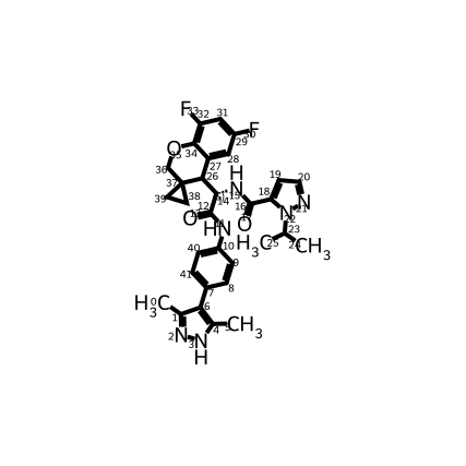 Cc1n[nH]c(C)c1-c1ccc(NC(=O)[C@@H](NC(=O)c2ccnn2C(C)C)C2c3cc(F)cc(F)c3OCC23CC3)cc1